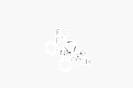 C1CCC(NC2CCCCC2)CC1.O=S(=O)(O)c1ccc(C(F)(F)F)cc1